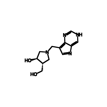 OC[C@H]1CN(Cc2cnc3c[nH]cnc2-3)C[C@@H]1O